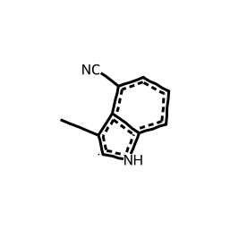 Cc1[c][nH]c2cccc(C#N)c12